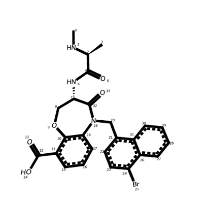 CN[C@@H](C)C(=O)N[C@H]1COc2c(C(=O)O)cccc2N(Cc2ccc(Br)c3ccccc23)C1=O